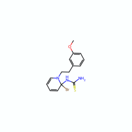 COc1cccc(CCN2C=CC=CC2(Br)NC(N)=S)c1